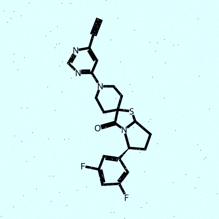 C#Cc1cc(N2CCC3(CC2)SC2CC[C@@H](c4cc(F)cc(F)c4)N2C3=O)ncn1